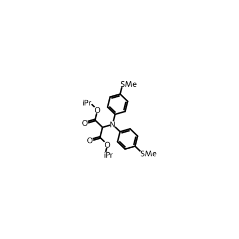 CSc1ccc(N(c2ccc(SC)cc2)C(C(=O)OC(C)C)C(=O)OC(C)C)cc1